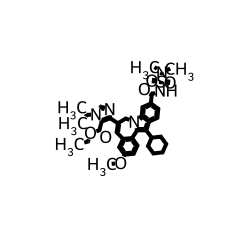 CCOC(=O)c1c(C2=Cc3cc(OC)ccc3-c3c(C4CCCCC4)c4ccc(C(=O)NS(=O)(=O)N(C)C)cc4n3C2)ncn1C(C)C